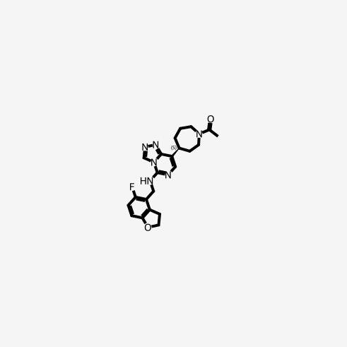 CC(=O)N1CCC[C@H](c2cnc(NCc3c(F)ccc4c3CCO4)n3cnnc23)CC1